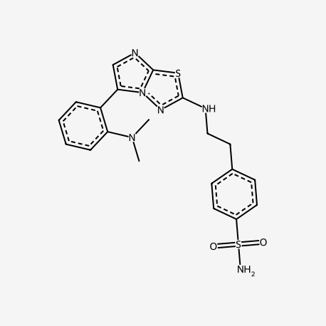 CN(C)c1ccccc1-c1cnc2sc(NCCc3ccc(S(N)(=O)=O)cc3)nn12